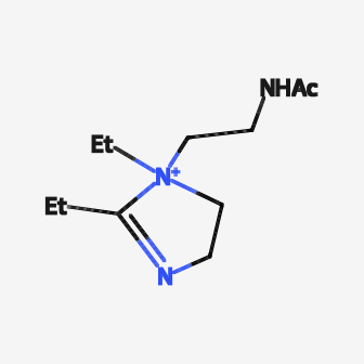 CCC1=NCC[N+]1(CC)CCNC(C)=O